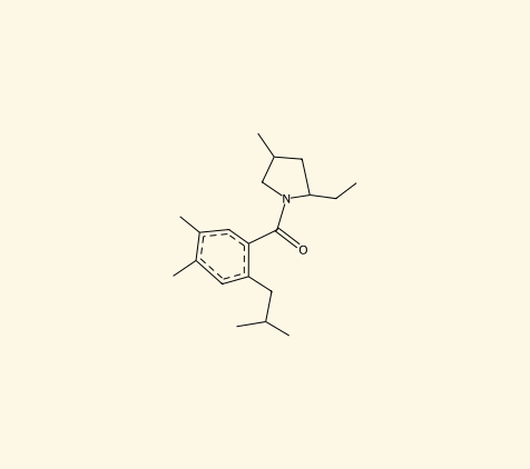 CCC1CC(C)CN1C(=O)c1cc(C)c(C)cc1CC(C)C